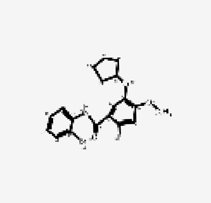 COc1cc(F)c(C(=O)Nc2ccccc2Br)cc1OC1CCCC1